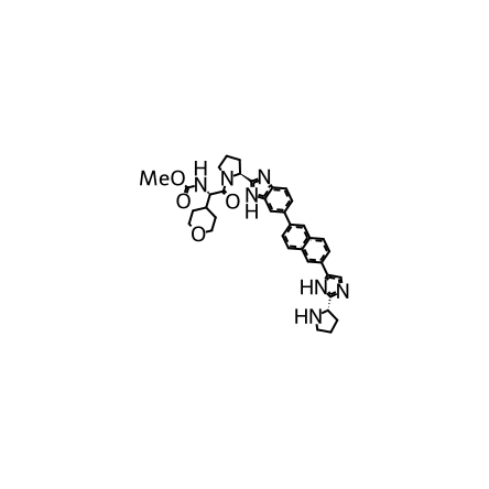 COC(=O)N[C@H](C(=O)N1CCC[C@H]1c1nc2ccc(-c3ccc4cc(-c5cnc([C@@H]6CCCN6)[nH]5)ccc4c3)cc2[nH]1)C1CCOCC1